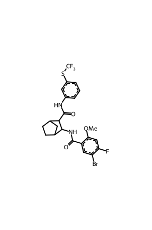 COc1cc(F)c(Br)cc1C(=O)NC1C2CCC(C2)C1C(=O)Nc1cccc(SC(F)(F)F)c1